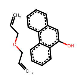 C=CCOCC=C.Oc1cc2ccccc2c2ccccc12